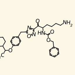 CC(Oc1ccc(Cc2nc(C(=O)C(CCCCN)NC(=O)OCc3ccccc3)no2)cc1)C1CCCCC1